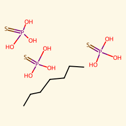 CCCCCCC.OP(O)(O)=S.OP(O)(O)=S.OP(O)(O)=S